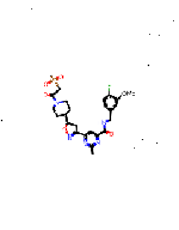 COc1cc(CNC(=O)c2cc(C3=NOC(C4CCN(C(=O)CS(C)(=O)=O)CC4)C3)nc(C)n2)ccc1F